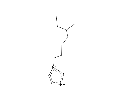 CCC(C)CCCC[n+]1cc[nH]c1